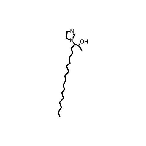 CCCCCCCCCCCCCCCCC(C(C)O)N1C=NCC1